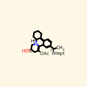 CCCCCCC[C@H](C)C1=CC2C(=C3CCCC[C@@H]3N3C[C@H](O)CC(OC(C)=O)=C23)C=C1